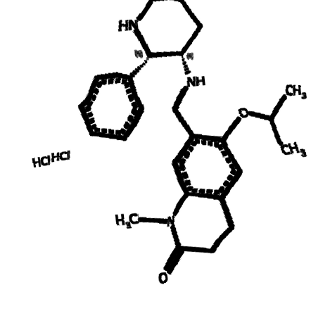 CC(C)Oc1cc2c(cc1CN[C@H]1CCCN[C@H]1c1ccccc1)N(C)C(=O)CC2.Cl.Cl